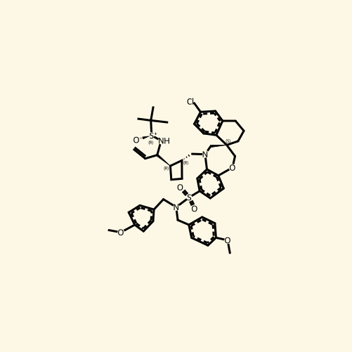 C=CC(N[S@@+]([O-])C(C)(C)C)[C@@H]1CC[C@H]1CN1C[C@@]2(CCCc3cc(Cl)ccc32)COc2ccc(S(=O)(=O)N(Cc3ccc(OC)cc3)Cc3ccc(OC)cc3)cc21